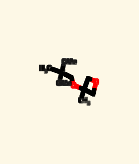 CO[Si](C)(COC1(C)COC1)OC